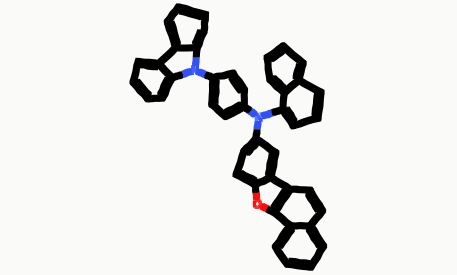 c1ccc2c(N(c3ccc(-n4c5ccccc5c5ccccc54)cc3)c3ccc4oc5c6ccccc6ccc5c4c3)cccc2c1